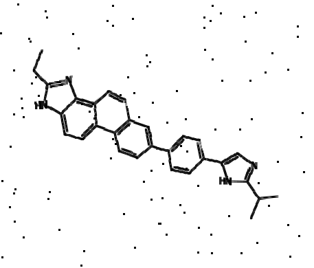 CCc1nc2c(ccc3c4ccc(-c5ccc(-c6cnc(C(C)C)[nH]6)cc5)cc4ccc32)[nH]1